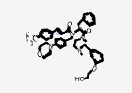 CN(CCN(C)C(=O)[C@H](Cc1ccccc1)N(Cc1ccc(N2CCOCC2)cc1)C(=O)/C=C/c1ccc(C(F)(F)F)cc1)Cc1cccc(OCCO)c1